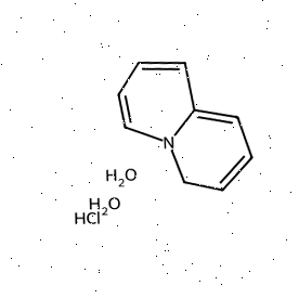 C1=CCN2C=CC=CC2=C1.Cl.O.O